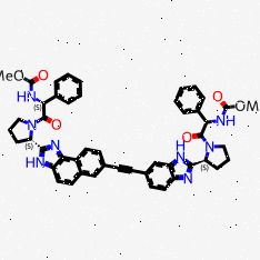 COC(=O)NC(C(=O)N1CCC[C@H]1c1nc2ccc(C#Cc3ccc4c(ccc5[nH]c([C@@H]6CCCN6C(=O)[C@@H](NC(=O)OC)c6ccccc6)nc54)c3)cc2[nH]1)c1ccccc1